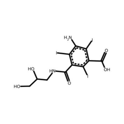 Nc1c(I)c(C(=O)O)c(I)c(C(=O)NCC(O)CO)c1I